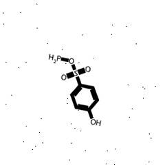 O=S(=O)(OP)c1ccc(O)cc1